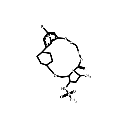 CC1CC(NS(C)(=O)=O)C2COC3CCC(CC3)c3cc(F)cc(c3F)OCCCOC(=O)N12